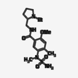 CCN1CCCC1CNC(=O)c1cc(N(C)S(N)(=O)=O)c(C)cc1OC